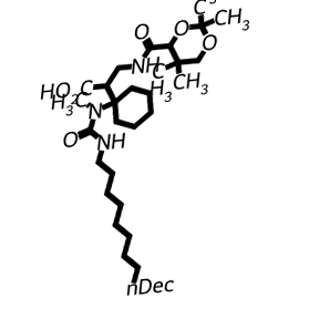 CCCCCCCCCCCCCCCCCCNC(=O)N(C)C1(C(CNC(=O)C2OC(C)(C)OCC2(C)C)C(=O)O)CCCCC1